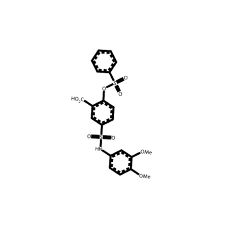 COc1ccc(NS(=O)(=O)c2ccc(OS(=O)(=O)c3ccccc3)c(C(=O)O)c2)cc1OC